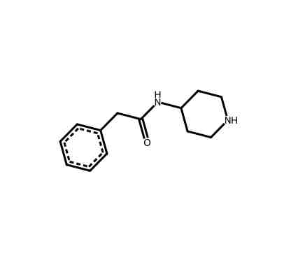 O=C(Cc1ccccc1)NC1CCNCC1